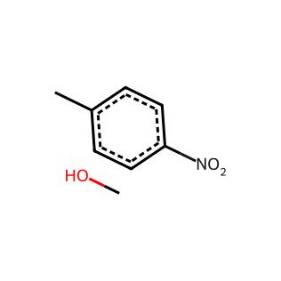 CO.Cc1ccc([N+](=O)[O-])cc1